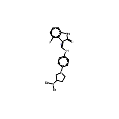 CCN(CC)C1CCN(c2ccc(N/C=C3\C(=O)Nc4cccc(F)c43)cc2)C1